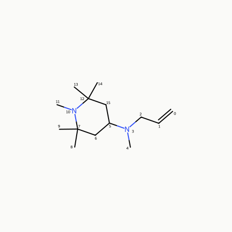 C=CCN(C)C1CC(C)(C)N(C)C(C)(C)C1